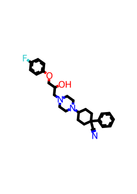 N#CC1(c2ccccc2)CCC(N2CCN(CC(O)COc3ccc(F)cc3)CC2)CC1